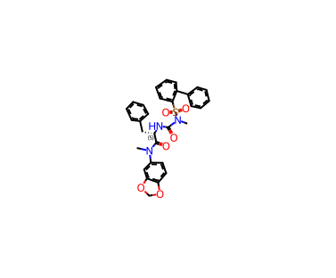 CN(C(=O)[C@H](Cc1ccccc1)NC(=O)N(C)S(=O)(=O)c1ccccc1-c1ccccc1)c1ccc2c(c1)OCO2